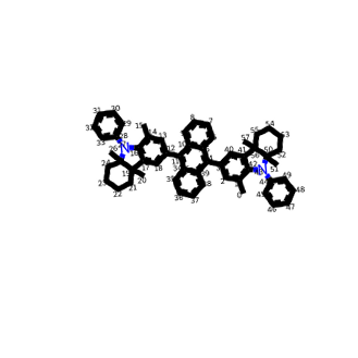 Cc1cc(-c2c3ccccc3c(-c3cc(C)c4c(c3)C3(C)CCCCC3(C)N4c3ccccc3)c3ccccc23)cc2c1N(c1ccccc1)C1(C)CCCCC21C